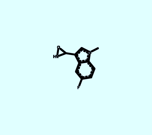 Cn1cc(C2NO2)c2cc(F)ccc21